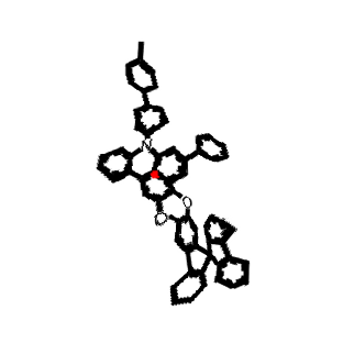 CC1=CCC(c2ccc(N(c3cccc(-c4ccccc4)c3)c3ccccc3-c3ccc4c(c3)Oc3cc5c(cc3O4)C3(C4=C5CCCC4)c4ccccc4-c4ccccc43)cc2)C=C1